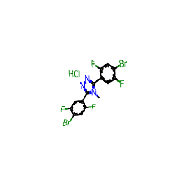 Cl.Cn1c(-c2cc(F)c(Br)cc2F)nnc1-c1cc(F)c(Br)cc1F